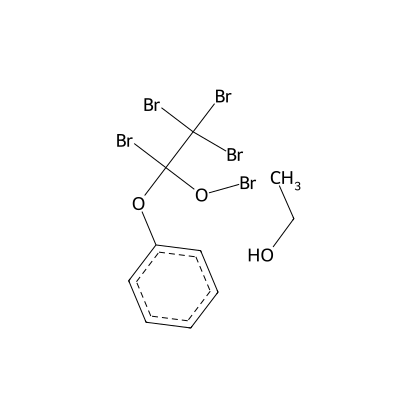 BrOC(Br)(Oc1ccccc1)C(Br)(Br)Br.CCO